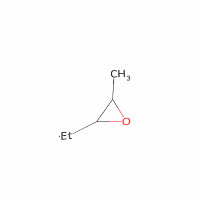 C[CH]C1OC1C